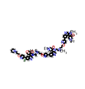 CCN1CCC2(CC1)C(=O)N(CCN(C)CCCOc1ccc(-c3ccc4ncc5c(c4c3)C3(CCN(C(C)C)CC3)C(=O)N5C)cn1)c1cnc3ccc(-c4ccc(OCCCN(C)C5CC5N5C(=O)C6(CCOCC6)c6c5cnc5cc(F)c(-c7ccc(OCCCN8CCCCC8)nc7)cc65)nc4)cc3c12